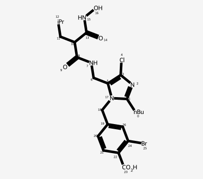 CCCCc1nc(Cl)c(CNC(=O)C(CC(C)C)C(=O)NO)n1Cc1ccc(C(=O)O)c(Br)c1